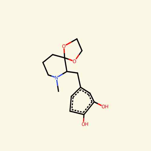 CN1CCCC2(OCCO2)C1Cc1ccc(O)c(O)c1